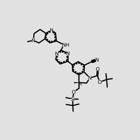 CN1CCc2ncc(Nc3nccc(-c4cc(C#N)c5c(c4)[C@@](C)(CO[Si](C)(C)C(C)(C)C)CN5C(=O)OC(C)(C)C)n3)cc2C1